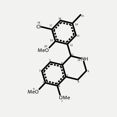 COc1ccc2c(c1OC)CCNC2c1cc(C)cc(Cl)c1OC